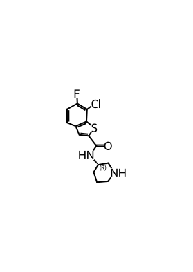 O=C(N[C@@H]1CCCNC1)c1cc2ccc(F)c(Cl)c2s1